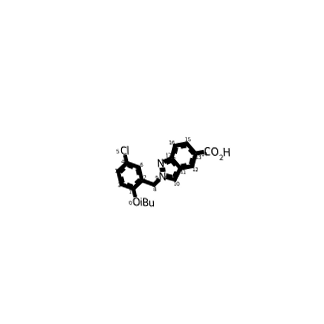 CC(C)COc1ccc(Cl)cc1Cn1cc2cc(C(=O)O)ccc2n1